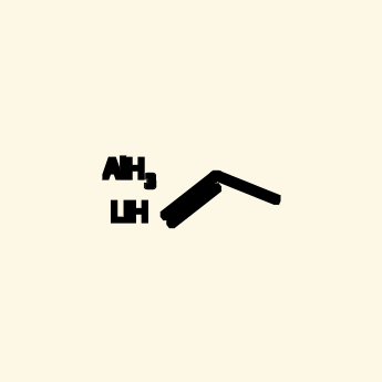 C=CC.[AlH3].[LiH]